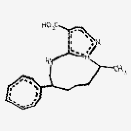 CC1CCC(c2ccccc2)Nc2c(C(=O)O)cnn21